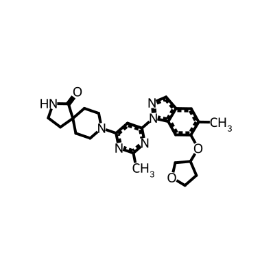 Cc1nc(N2CCC3(CCNC3=O)CC2)cc(-n2ncc3cc(C)c(OC4CCOC4)cc32)n1